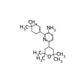 CC1(C)CC=C(c2nc(C3CC(C)(C)OC(C)(C)C3)ccc2N)CC1